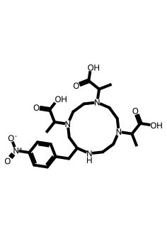 CC(C(=O)O)N1CCNC(Cc2ccc([N+](=O)[O-])cc2)CN(C(C)C(=O)O)CCN(C(C)C(=O)O)CC1